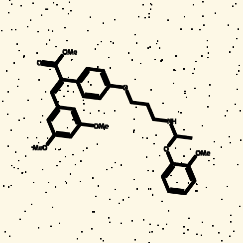 COC(=O)C(=Cc1cc(OC)cc(OC)c1)c1ccc(OCCCNC(C)Oc2ccccc2OC)cc1